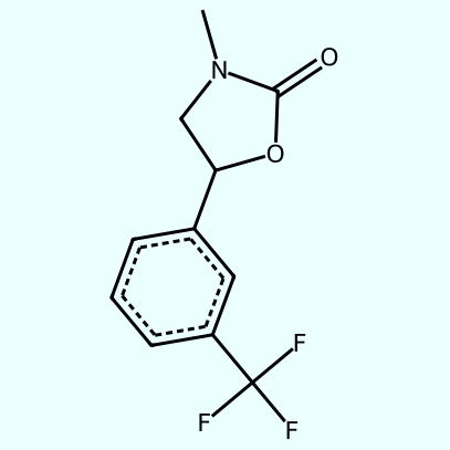 CN1CC(c2cccc(C(F)(F)F)c2)OC1=O